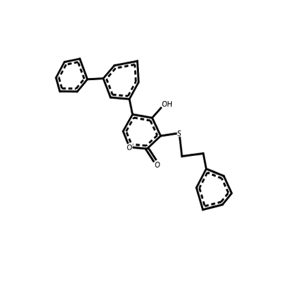 O=c1occ(-c2cccc(-c3ccccc3)c2)c(O)c1SCCc1ccccc1